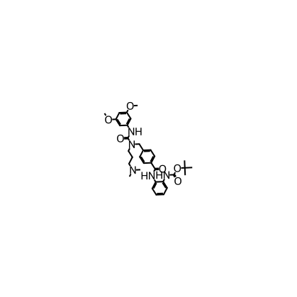 COc1cc(NC(=O)N(CCCN(C)C)Cc2ccc(C(=O)Nc3ccccc3NC(=O)OC(C)(C)C)cc2)cc(OC)c1